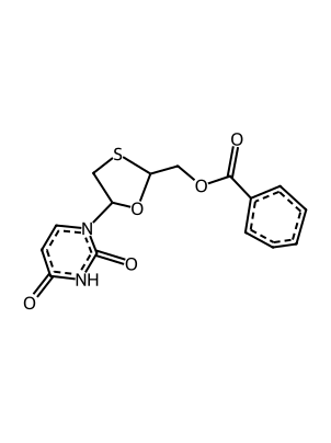 O=C(OCC1OC(n2ccc(=O)[nH]c2=O)CS1)c1ccccc1